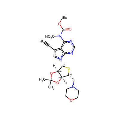 C#Cc1cn([C@@H]2S[C@H](CN3CCOCC3)[C@H]3OC(C)(C)O[C@H]32)c2ncnc(N(C(=O)O)C(=O)OC(C)(C)C)c12